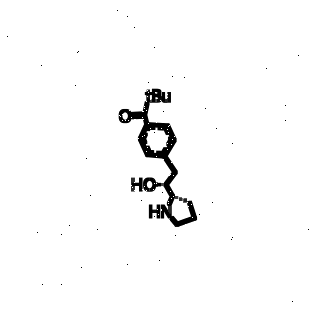 CC(C)(C)C(=O)c1ccc(C[C@@H](O)[C@@H]2CCCN2)cc1